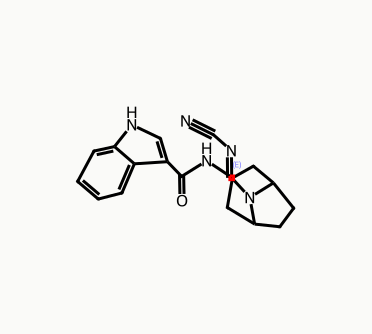 N#C/N=C/N1C2CCC1CC(NC(=O)c1c[nH]c3ccccc13)C2